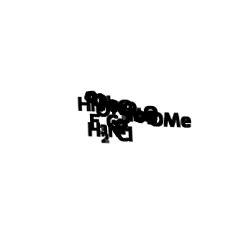 COS(=O)CC1CCN(C(=O)[C@H](CC(=O)N2CCC(N3CCc4ccccc4NC3=O)CC2)Cc2cc(Cl)c(N)c(C(F)(F)F)c2)CC1